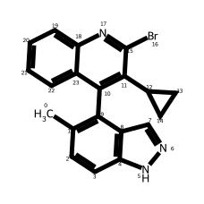 Cc1ccc2[nH]ncc2c1-c1c(C2CC2)c(Br)nc2ccccc12